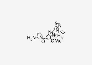 COc1cc(C(=O)N2CCCC(N)C2)cc2nc(-c3cc4scnc4n3CC3CCC3)n(C)c12